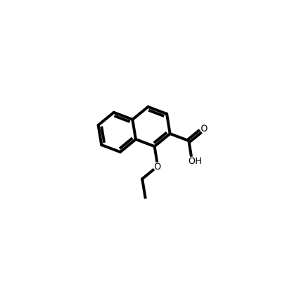 CCOc1c(C(=O)O)ccc2ccccc12